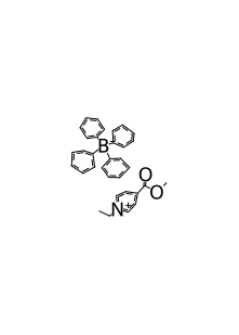 CC[n+]1ccc(C(=O)OC)cc1.c1ccc([B-](c2ccccc2)(c2ccccc2)c2ccccc2)cc1